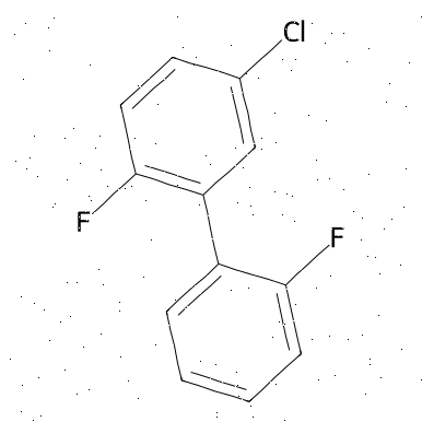 Fc1ccccc1-c1cc(Cl)ccc1F